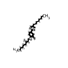 CCCCCCCCc1cnc(-c2ccc(OCCC(F)CCCCCC)c(F)c2)nc1